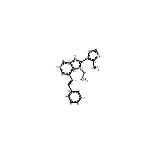 CCn1c(-n2ncnc2N)nc2cncc(/C=C/c3ccccc3)c21